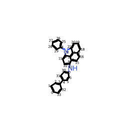 c1ccc(-c2ccc(Nc3ccc4c5c3ccc3cccc(c35)n4-c3ccccc3)cc2)cc1